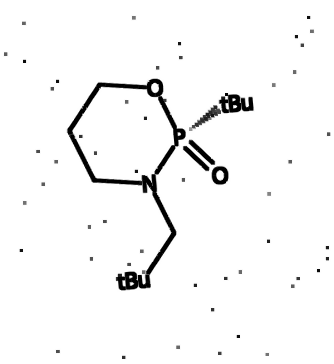 CC(C)(C)CN1CCCO[P@]1(=O)C(C)(C)C